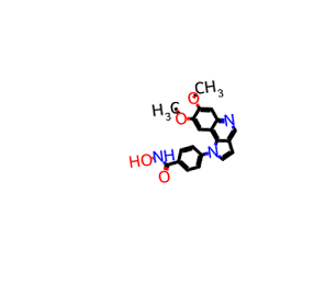 COc1cc2ncc3ccn(-c4ccc(C(=O)NO)cc4)c3c2cc1OC